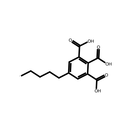 [CH2]CCCCc1cc(C(=O)O)c(C(=O)O)c(C(=O)O)c1